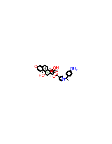 C[C@H](c1ccc(N)cc1)n1ccc([C@@H]2O[C@@H]3C[C@H]4[C@@H]5CCC6=CC(=O)C=C[C@]6(C)[C@@]5(F)[C@@H](O)C[C@]4(C)[C@]3(C(=O)CO)O2)c1